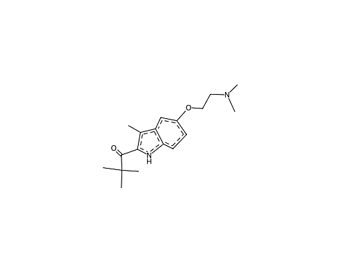 Cc1c(C(=O)C(C)(C)C)[nH]c2ccc(OCCN(C)C)cc12